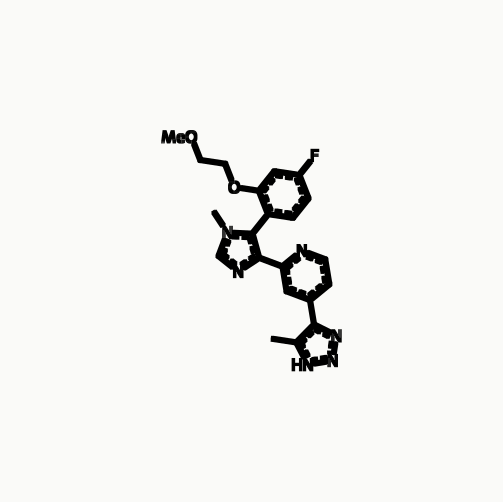 COCCOc1cc(F)ccc1-c1c(-c2cc(-c3nn[nH]c3C)ccn2)ncn1C